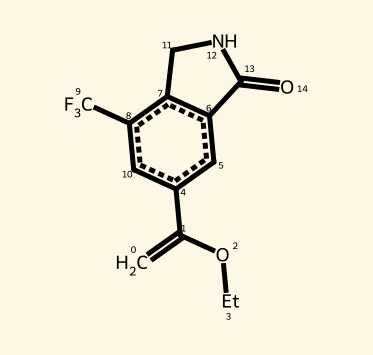 C=C(OCC)c1cc2c(c(C(F)(F)F)c1)CNC2=O